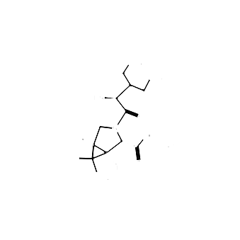 CCC(CC)[C@H](N)C(=O)N1C[C@H]2[C@@H]([C@H]1C(=O)O)C2(C)C.Cl.Cl